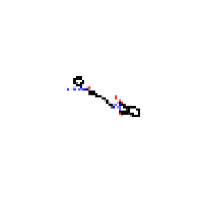 Nc1ccccc1NC(=O)/C=C/CCCN1C(=O)c2ccccc2C1=O